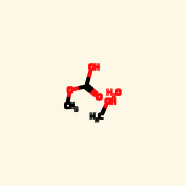 CO.COC(=O)O.O